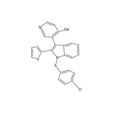 N#Cc1ccncc1-c1c(-c2cccs2)n(Sc2ccc(Cl)cc2)c2ccccc12